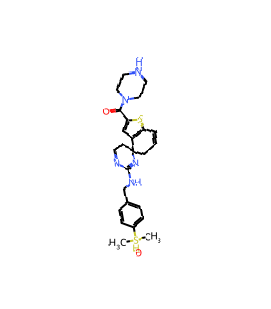 C[SH](C)(=O)c1ccc(CNC2=NC3(CC=Cc4sc(C(=O)N5CCNCC5)cc43)CC=N2)cc1